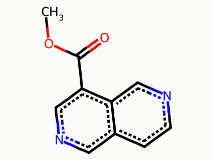 COC(=O)c1cncc2ccncc12